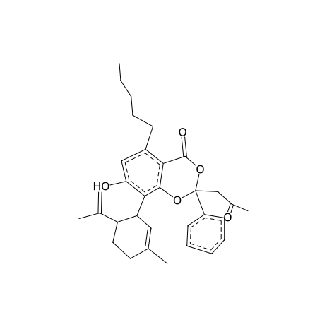 C=C(C)C1CCC(C)=CC1c1c(O)cc(CCCCC)c2c1OC(CC(C)=O)(c1ccccc1)OC2=O